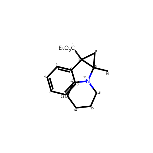 CCOC(=O)C1(c2ccccc2)CC1(C)N1CCCCC1